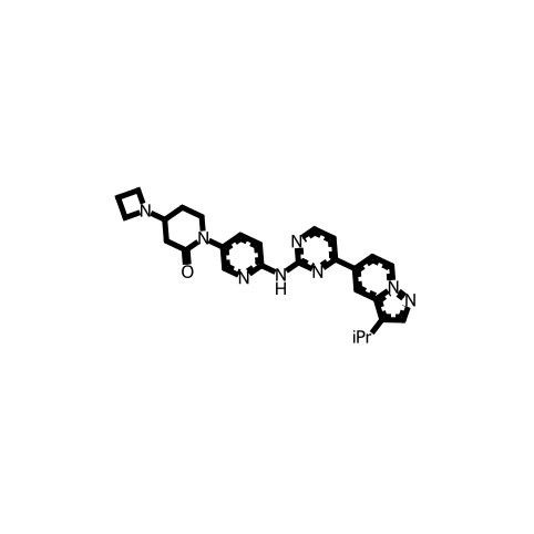 CC(C)c1cnn2ccc(-c3ccnc(Nc4ccc(N5CCC(N6CCC6)CC5=O)cn4)n3)cc12